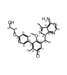 COc1c(C(C)n2nc(C)c3c(N)ncnc32)cc(Cl)c(C)c1-c1ccc(OCCO)nc1